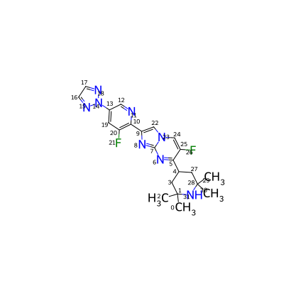 CC1(C)CC(c2nc3nc(-c4ncc(-n5nccn5)cc4F)cn3cc2F)CC(C)(C)N1